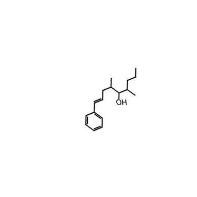 CCCC(C)C(O)C(C)C/C=C/c1ccccc1